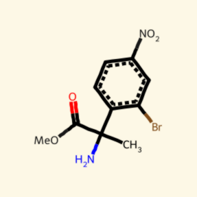 COC(=O)C(C)(N)c1ccc([N+](=O)[O-])cc1Br